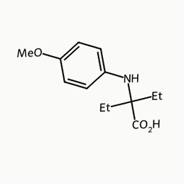 CCC(CC)(Nc1ccc(OC)cc1)C(=O)O